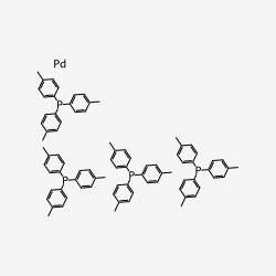 Cc1ccc(P(c2ccc(C)cc2)c2ccc(C)cc2)cc1.Cc1ccc(P(c2ccc(C)cc2)c2ccc(C)cc2)cc1.Cc1ccc(P(c2ccc(C)cc2)c2ccc(C)cc2)cc1.Cc1ccc(P(c2ccc(C)cc2)c2ccc(C)cc2)cc1.[Pd]